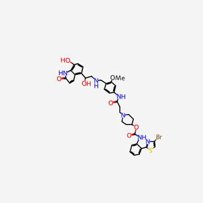 COc1cc(NC(=O)CCN2CCC(OC(=O)Nc3ccccc3-c3nc(Br)cs3)CC2)ccc1CNCC(O)c1ccc(O)c2[nH]c(=O)ccc12